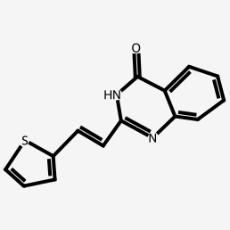 O=c1[nH]c(/C=C/c2cccs2)nc2ccccc12